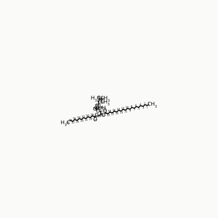 CCCCCCCCCCCCCCCCCCCCC(=O)OC(COC(=O)CCCCCCCCCCCC)COP(=O)(O)OCC[N+](C)(C)C